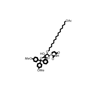 COc1ccc(C(OC2[C@H]3O[C@@H](n4ccc(=O)[nH]c4=O)[C@H](OCCCCCCCCCCCCCCCCOC(C)=O)[C@@]23O)(c2ccccc2)c2ccc(OC)cc2)cc1